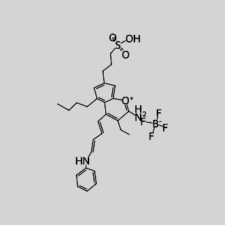 CCCCc1cc(CCCS(=O)(=O)O)cc2[o+]c(N)c(CC)c(C=CC=CNc3ccccc3)c12.F[B-](F)(F)F